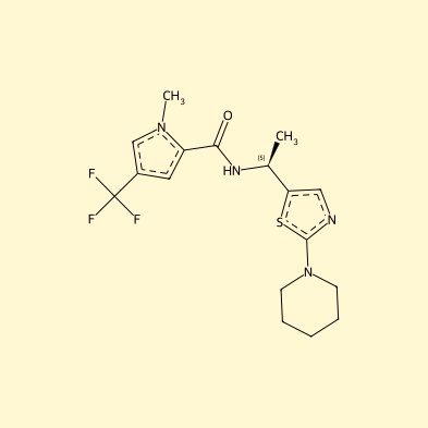 C[C@H](NC(=O)c1cc(C(F)(F)F)cn1C)c1cnc(N2CCCCC2)s1